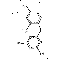 Cc1ccc(Oc2nc(S)nc(S)n2)c(C)c1